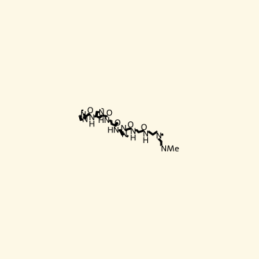 CNCCCN(C)CCCNC(=O)CCNC(=O)c1nc(NC(=O)CCNC(=O)c2cc(NC(=O)c3nccn3C)cn2C)cn1C